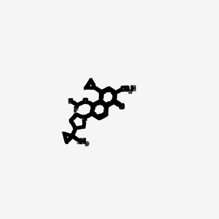 NC1(C2CCN(c3ccc4c(=O)c(C(=O)O)cn(C5CC5)c4c3OC(F)F)C2)CC1